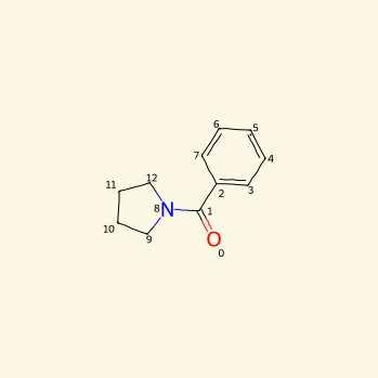 O=C(c1cc[c]cc1)N1CCCC1